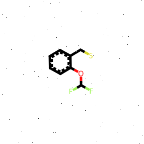 FC(F)Oc1ccccc1C[S]